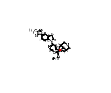 CC(C)OC(=O)N1CC2COCC(C1)C2Oc1cc(N2CCc3cc(S(C)(=O)=O)ccc32)ncn1